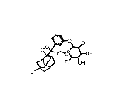 CCC1OC(Oc2cccc(C3(OCC(F)(F)F)OOC34C3CC5CC4CC(Cl)(C5)C3)c2)C(O)C(O)C1O